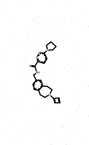 O=C(NCc1ccc2c(c1)CCN(C1=CC=C1)CC2)c1ccc(N2CCCC2)nn1